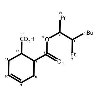 CCCCC(CC)C(OC(=O)C1CC=CCC1C(=O)O)C(C)C